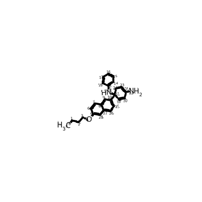 CCCCOc1ccc2cc(C3(Nc4ccccc4)C=CC(N)=CC3)ccc2c1